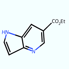 CCOC(=O)c1cnc2cc[nH]c2c1